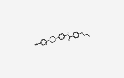 N#Cc1ccc(N2CCN(c3ccc(NC(=O)c4ccc(OCCF)cc4)cc3)CC2)nc1